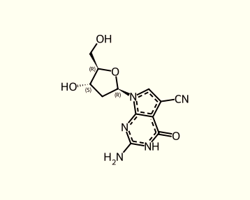 N#Cc1cn([C@H]2C[C@H](O)[C@@H](CO)O2)c2nc(N)[nH]c(=O)c12